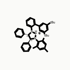 Cc1cc(C)c(N2[C@@H](c3ccccc3)[C@H](c3ccccc3)N(c3ccccc3-c3cc(C(C)(C)C)cc(C(C)(C)C)c3)[PH]2=O)c(C)c1